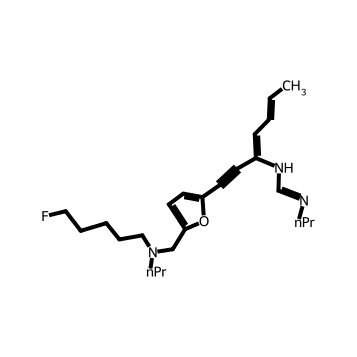 C/C=C/C=C(/C#Cc1ccc(CN(CCC)CCCCCF)o1)N/C=N/CCC